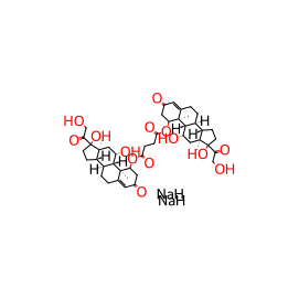 C[C@]12C[C@H](O)[C@H]3[C@@H](CCC4=CC(=O)CC(OC(=O)CCC(=O)OC5CC(=O)C=C6CC[C@@H]7[C@H]([C@@H](O)C[C@@]8(C)[C@H]7CC[C@]8(O)C(=O)CO)[C@]65C)[C@@]43C)[C@@H]1CC[C@]2(O)C(=O)CO.[NaH].[NaH]